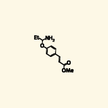 CCC(N)Oc1ccc(/C=C/C(=O)OC)cc1